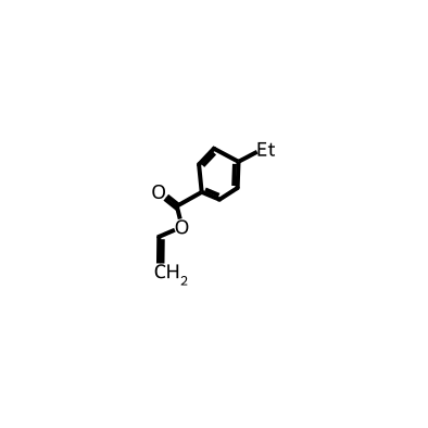 C=COC(=O)c1ccc(CC)cc1